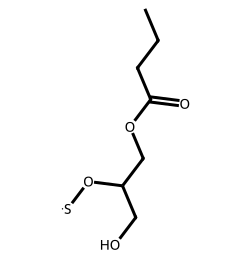 CCCC(=O)OCC(CO)O[S]